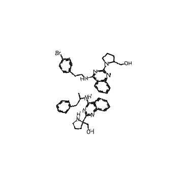 CC(Cc1ccccc1)Nc1nc(C2(CO)CCCN2)nc2ccccc12.OCC1CCCN1c1nc(NCCc2ccc(Br)cc2)c2ccccc2n1